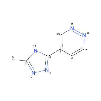 CC1=NN=C(c2ccnnc2)[N]1